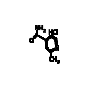 Cc1cc(C(N)=O)ccn1.Cl